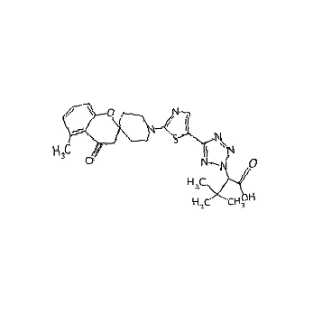 Cc1cccc2c1C(=O)CC1(CCN(c3ncc(-c4nnn(C(C(=O)O)C(C)(C)C)n4)s3)CC1)O2